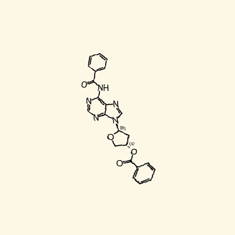 O=C(Nc1ncnc2c1ncn2[C@H]1C[C@H](OC(=O)c2ccccc2)CO1)c1ccccc1